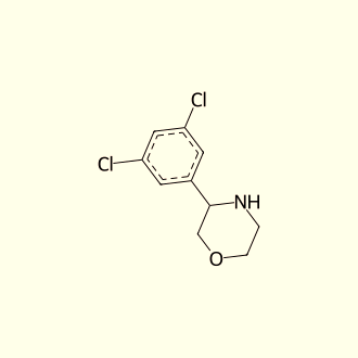 Clc1cc(Cl)cc(C2COCCN2)c1